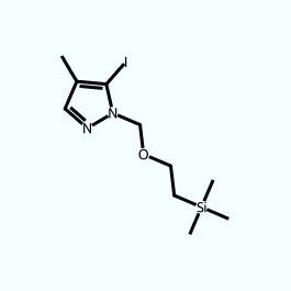 Cc1cnn(COCC[Si](C)(C)C)c1I